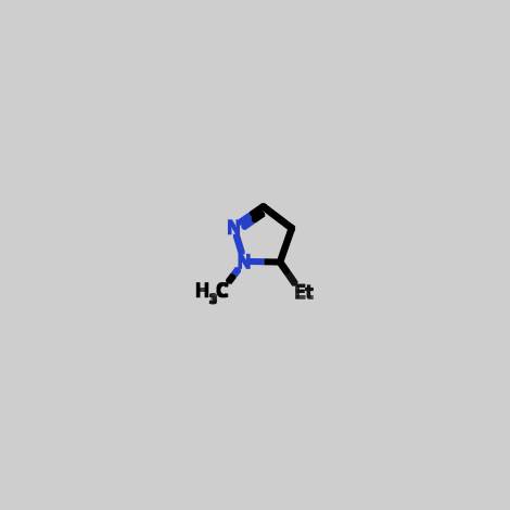 CCC1CC=NN1C